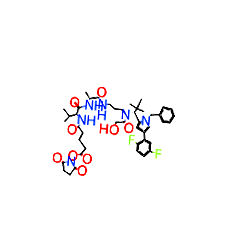 CC(C)C(NC(=O)CCCC(=O)ON1C(=O)CCC1=O)C(=O)N[C@@H](C)C(=O)NCCCN(C(=O)CO)[C@@H](c1cc(-c2cc(F)ccc2F)cn1Cc1ccccc1)C(C)(C)C